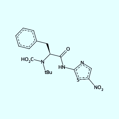 CC(C)(C)N(C(=O)O)[C@@H](Cc1ccccc1)C(=O)Nc1ncc([N+](=O)[O-])s1